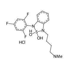 CNCCCCN1c2ccccc2N(c2c(F)cc(F)cc2F)S1(O)O.Cl